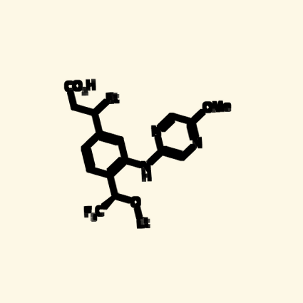 CCO[C@H](c1ccc(C(CC)CC(=O)O)cc1Nc1cnc(OC)cn1)C(F)(F)F